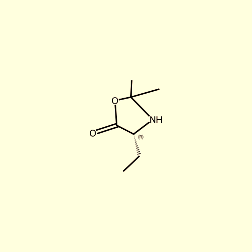 CC[C@H]1NC(C)(C)OC1=O